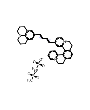 C(/C=C/c1cc[n+]2c(c1)-c1c(ccc3c1-c1cccc[n+]1CC3)CC2)=C\c1cc2c3c(c1)CCCN3CCC2.O=S(=O)([O-])C(F)(F)F.O=S(=O)([O-])C(F)(F)F